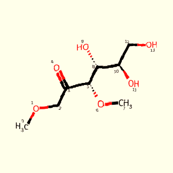 COCC(=O)[C@@H](OC)[C@H](O)[C@H](O)CO